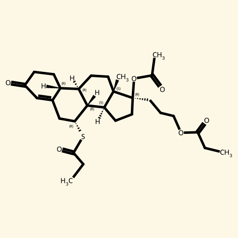 CCC(=O)OCCC[C@]1(OC(C)=O)CC[C@H]2[C@H]3[C@H](CC[C@@]21C)[C@H]1CCC(=O)C=C1C[C@H]3SC(=O)CC